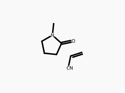 C=CC#N.CN1CCCC1=O